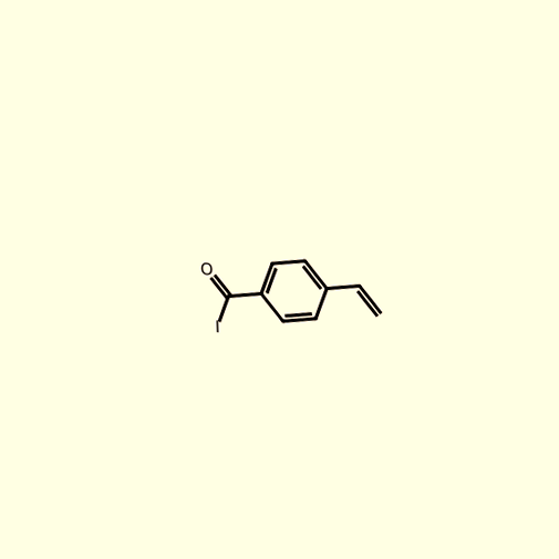 C=Cc1ccc(C(=O)I)cc1